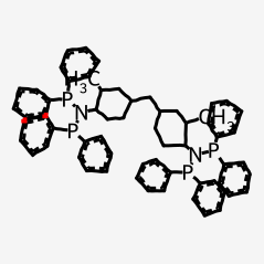 CC1CC(CC2CCC(N(P(c3ccccc3)c3ccccc3)P(c3ccccc3)c3ccccc3)C(C)C2)CCC1N(P(c1ccccc1)c1ccccc1)P(c1ccccc1)c1ccccc1